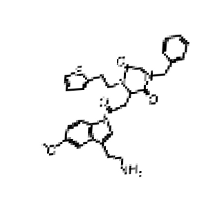 COc1ccc2c(c1)c(CCN)cn2C(=O)CC1C(=O)N(Cc2ccccc2)CC(=O)N1CCc1cccs1